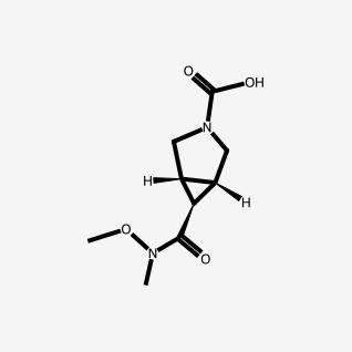 CON(C)C(=O)[C@H]1[C@@H]2CN(C(=O)O)C[C@@H]21